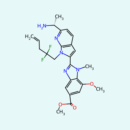 C=CCC(F)(F)Cn1c(-c2nc3cc(C(=O)OC)cc(OC)c3n2C)cc2ccc([C@@H](C)N)nc21